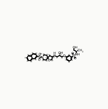 C[C@H](CO)NS(=O)(=O)c1cccc(OC[C@@H](O)CNC2COC3(CCN(S(=O)(=O)c4ccc5ccccc5c4)CC3)C2)c1